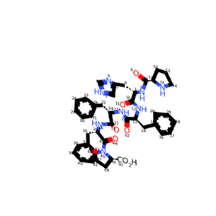 O=C(N[C@@H](Cc1c[nH]cn1)C(=O)N[C@@H](Cc1ccccc1)C(=O)N[C@@H](Cc1ccccc1)C(=O)N[C@@H](Cc1ccccc1)C(=O)N1CCC[C@H]1C(=O)O)[C@@H]1CCCN1